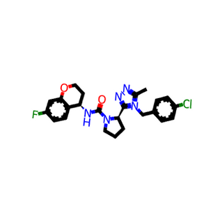 Cc1nnc([C@H]2CCCN2C(=O)N[C@H]2CCOc3cc(F)ccc32)n1Cc1ccc(Cl)cc1